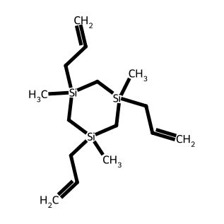 C=CC[Si]1(C)C[Si](C)(CC=C)C[Si](C)(CC=C)C1